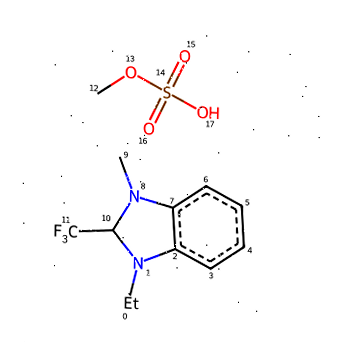 CCN1c2ccccc2N(C)C1C(F)(F)F.COS(=O)(=O)O